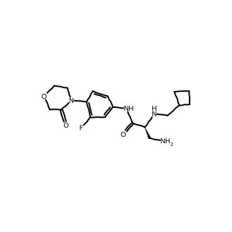 NC[C@H](NCC1CCC1)C(=O)Nc1ccc(N2CCOCC2=O)c(F)c1